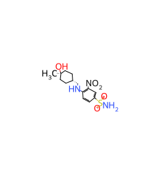 C[C@]1(O)CC[C@H](CNc2ccc(S(N)(=O)=O)cc2[N+](=O)[O-])CC1